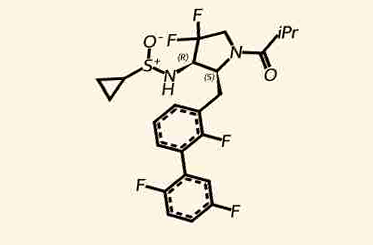 CC(C)C(=O)N1CC(F)(F)[C@H](N[S+]([O-])C2CC2)[C@@H]1Cc1cccc(-c2cc(F)ccc2F)c1F